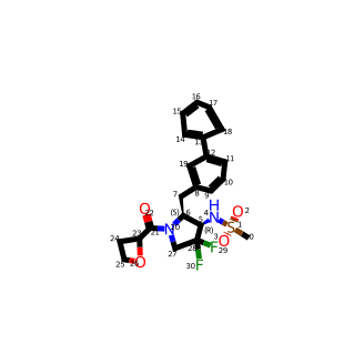 CS(=O)(=O)N[C@@H]1[C@H](Cc2cccc(-c3ccccc3)c2)N(C(=O)C2CCO2)CC1(F)F